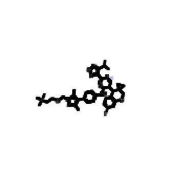 Cc1nn(COCC[Si](C)(C)C)c(C)c1-c1ccc(NC(=O)C(/C=N\C(=O)c2nonc2C(C)C)C2c3ccc(F)cc3OCC23CC3)cc1